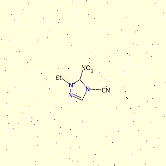 CCN1N=CN(C#N)C1[N+](=O)[O-]